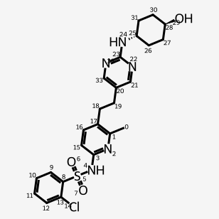 Cc1nc(NS(=O)(=O)c2ccccc2Cl)ccc1CCc1cnc(N[C@H]2CC[C@H](O)CC2)nc1